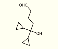 O=[C]CCCC(O)(C1CC1)C1CC1